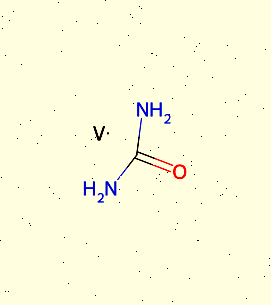 NC(N)=O.[V]